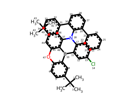 CC(C)(C)c1ccc2c(c1)B1c3cc(Cl)ccc3N(c3c(-c4ccccc4)cccc3-c3ccccc3)c3cc(C(C)(C)C)cc(c31)O2